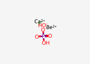 O=P([O-])([O-])O.[Be+2].[Ca+2].[F-].[OH-]